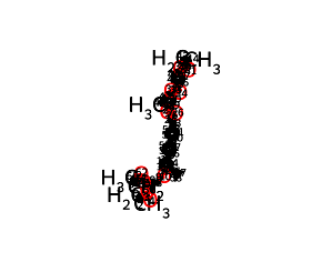 C=C(C)C(=O)OCC(CCOc1ccc(-c2ccc(C3C=CC(/C=C/C(=O)OC4C=CC(OC(=O)c5ccc(OC(=O)C(=C)C)cc5)=CC4C)=CC3)cc2)cc1C1CC1)COC(=O)C(=C)C